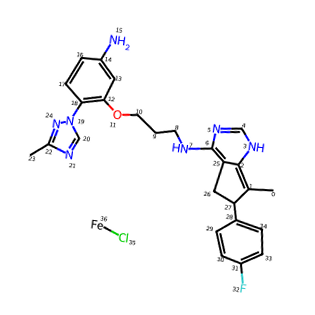 CC1=C2NC=NC(NCCCOc3cc(N)ccc3-n3cnc(C)n3)=C2CC1c1ccc(F)cc1.[Cl][Fe]